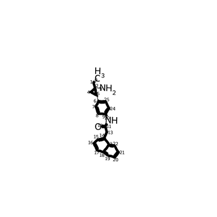 CC[C@]1(N)C[C@H]1c1ccc(NC(=O)Cc2cccc3ccccc23)cc1